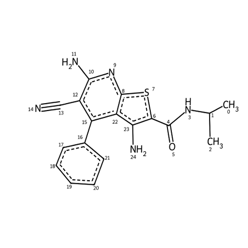 CC(C)NC(=O)c1sc2nc(N)c(C#N)c(-c3ccccc3)c2c1N